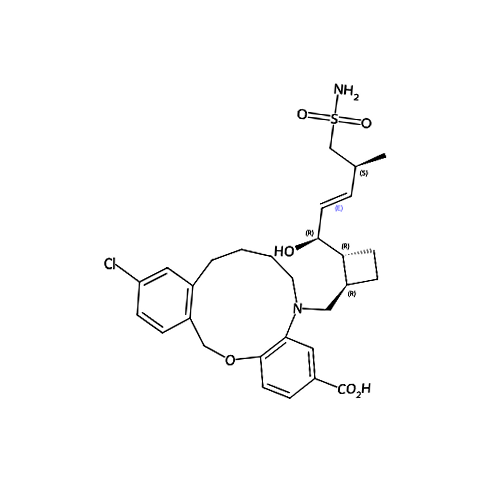 C[C@@H](/C=C/[C@H](O)[C@@H]1CC[C@H]1CN1CCCCc2cc(Cl)ccc2COc2ccc(C(=O)O)cc21)CS(N)(=O)=O